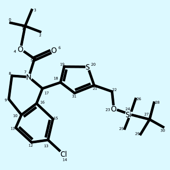 CC(C)(C)OC(=O)N1CCc2ccc(Cl)cc2C1c1csc(CO[Si](C)(C)C(C)(C)C)c1